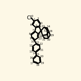 Clc1ccc2c(c1)-c1ccc(-c3ccc(-c4ccccc4)cc3)cc1C21C2CC3CC(C2)CC1C3